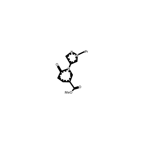 COC(=O)c1ccc(=O)n(-c2cnn(C(C)C)c2)c1